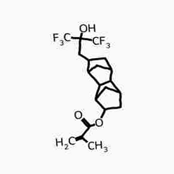 C=C(C)C(=O)OC1CC2CC1C1C3CC(CC3CC(O)(C(F)(F)F)C(F)(F)F)C21